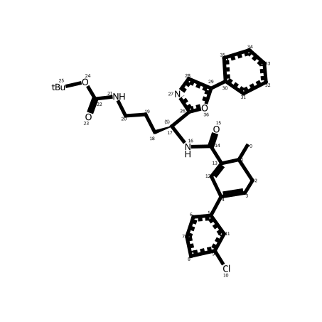 CC1CC=C(c2cccc(Cl)c2)C=C1C(=O)N[C@@H](CCCNC(=O)OC(C)(C)C)c1ncc(-c2ccccc2)o1